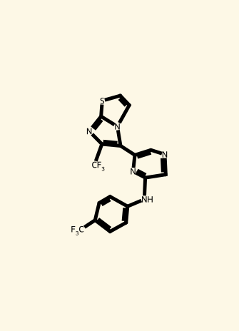 FC(F)(F)c1ccc(Nc2cncc(-c3c(C(F)(F)F)nc4sccn34)n2)cc1